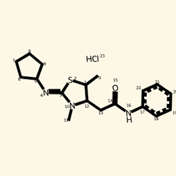 CC1SC(=NC2CCCC2)N(C)C1CC(=O)Nc1ccccc1.Cl